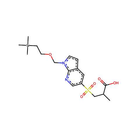 CC(CS(=O)(=O)c1cnc2c(ccn2COCC[Si](C)(C)C)c1)C(=O)O